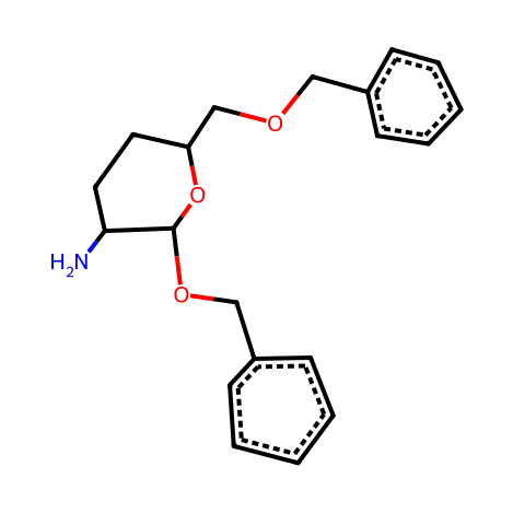 NC1CCC(COCc2ccccc2)OC1OCc1ccccc1